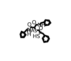 O=C(NCc1ccccc1)C([AsH]C(=O)[C@@H](S)Cc1ccccc1)C(=O)NCc1ccccc1